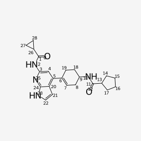 O=C(Nc1cc(C2=CCC(NC(=O)C3CCCC3)CC2)c2cc[nH]c2n1)C1CC1